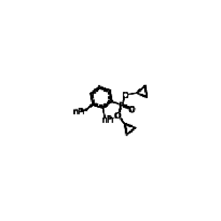 CCCc1cccc(P(=O)(OC2CC2)OC2CC2)c1CCC